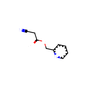 N#CCC(=O)OCc1ccccn1